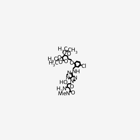 CNC(=O)C1OC(n2cnc3c(NCc4cc(Cl)ccc4OCC4OC5OC(C)(C)OC5C5OC(C)(C)OC45)ncnc32)C(O)C1N